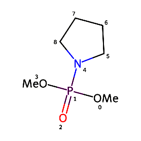 COP(=O)(OC)N1CCCC1